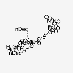 CCCCCCCCCCCCC/C=C/[C@@H](OC(=O)CCC(=O)OCCSSCCOC(=O)O[C@]1(CC)C(=O)OCc2c1cc1n(c2=O)Cc2cc3ccccc3nc2-1)[C@H](COP(=O)([O-])OCC[N+](C)(C)C)NC(=O)CCCCCCCCCCCCCCC